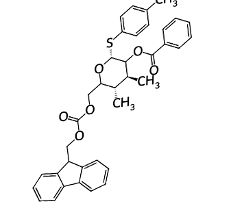 Cc1ccc(S[C@H]2OC(COC(=O)OCC3c4ccccc4-c4ccccc43)[C@@H](C)[C@H](C)C2OC(=O)c2ccccc2)cc1